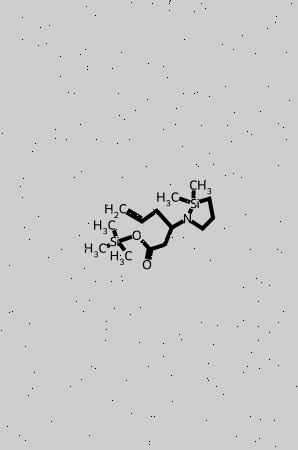 C=CCC(CC(=O)O[Si](C)(C)C)N1CCC[Si]1(C)C